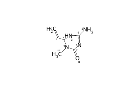 C=CC1NC(N)=NC(=O)N1C